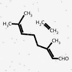 C=C.CC(C)=CCC/C(C)=C/C=O